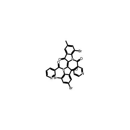 Cc1cc(Br)c2c(c1)C(=O)/C(=C1/C(=O)c3cc(Br)cc(Br)c3N1C(=O)c1cccnc1)N2C(=O)c1cccnc1